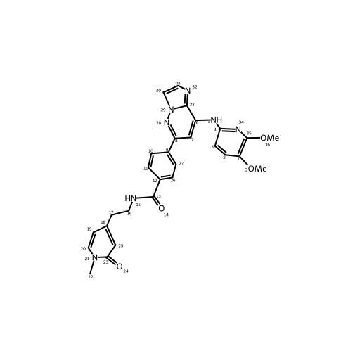 COc1ccc(Nc2cc(-c3ccc(C(=O)NCCc4ccn(C)c(=O)c4)cc3)nn3ccnc23)nc1OC